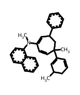 CC1C=C(C2(C)C=CC(N(C)c3cccc4ccccc34)=CC(c3ccccc3)C2)C=CC1